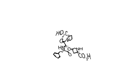 C[C@H](N[C@@H](CCc1ccccc1)C(=O)O[C@H]1CN[C@H](C(=O)O)C1)C(=O)N1CCC[C@H]1C(=O)O